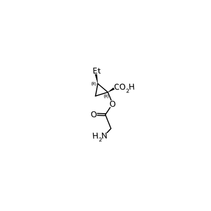 CC[C@@H]1C[C@]1(OC(=O)CN)C(=O)O